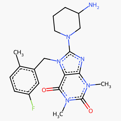 Cc1ccc(F)cc1Cn1c(N2CCCC(N)C2)nc2c1c(=O)n(C)c(=O)n2C